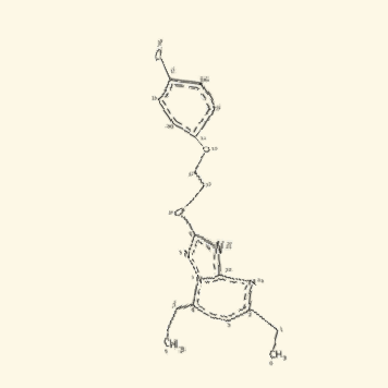 CCc1cc(CC)n2nc(OCCOc3ccc(Cl)cc3)nc2n1